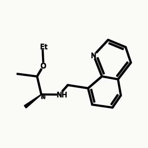 CCOC(C)[C@H](C)NCc1cccc2cccnc12